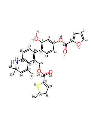 COc1cc(OC(=O)c2ccco2)ccc1-c1ccc2c(c1COC(=O)C1=CCC(C)S1)C(C)=CC(C)(C)N2